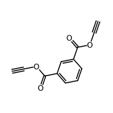 C#COC(=O)c1cccc(C(=O)OC#C)c1